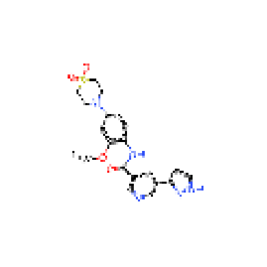 COc1cc(N2CCS(=O)(=O)CC2)ccc1NC(=O)c1cncc(-c2cc[nH]n2)c1